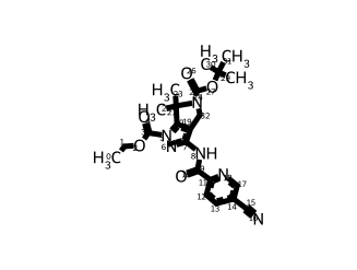 CCOC(=O)n1nc(NC(=O)c2ccc(C#N)cn2)c2c1C(C)(C)N(C(=O)OC(C)(C)C)C2